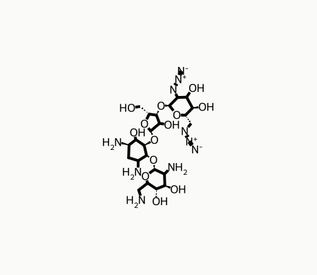 [N-]=[N+]=NC[C@@H]1O[C@@H](O[C@@H]2C(O)[C@H](O[C@@H]3C(O)[C@H](N)CC(N)[C@H]3O[C@H]3OC(CN)[C@@H](O)[C@H](O)C3N)O[C@@H]2CO)C(N=[N+]=[N-])C(O)[C@H]1O